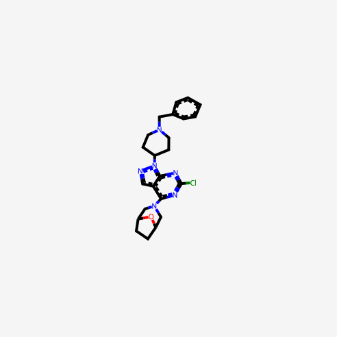 Clc1nc(N2CC3CCC(C2)O3)c2cnn(C3CCN(Cc4ccccc4)CC3)c2n1